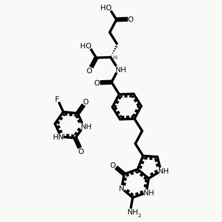 Nc1nc(=O)c2c(CCc3ccc(C(=O)N[C@@H](CCC(=O)O)C(=O)O)cc3)c[nH]c2[nH]1.O=c1[nH]cc(F)c(=O)[nH]1